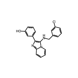 Oc1cccc(-c2nc3ccccn3c2NCc2cccc(Cl)c2)c1